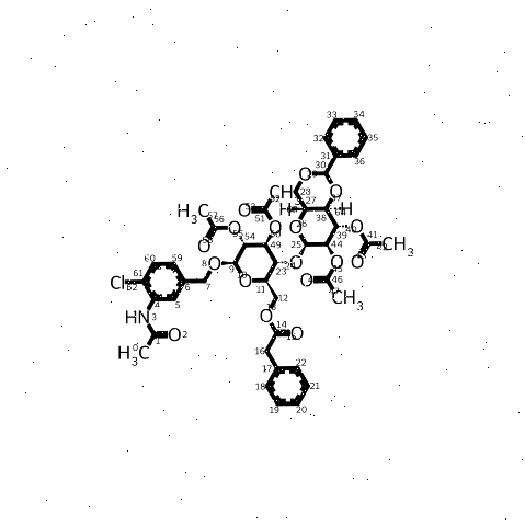 CC(=O)Nc1cc(CO[C@@H]2O[C@H](COC(=O)Cc3ccccc3)[C@@H](O[C@H]3O[C@@H]4COC(c5ccccc5)O[C@H]4[C@H](OC(C)=O)[C@H]3OC(C)=O)[C@H](OC(C)=O)[C@H]2OC(C)=O)ccc1Cl